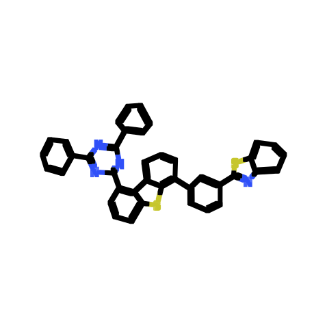 c1ccc(-c2nc(-c3ccccc3)nc(-c3cccc4sc5c(-c6cccc(-c7nc8ccccc8s7)c6)cccc5c34)n2)cc1